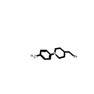 Cc1ccc(N2CCC(CC(C)C)CC2)cc1